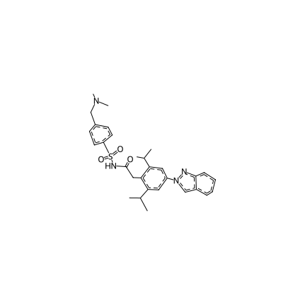 CC(C)c1cc(-n2cc3ccccc3n2)cc(C(C)C)c1CC(=O)NS(=O)(=O)c1ccc(CN(C)C)cc1